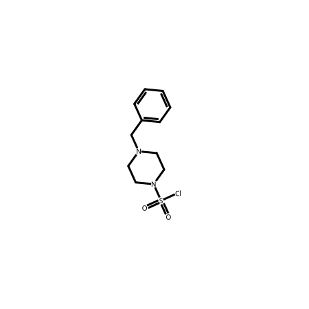 O=S(=O)(Cl)N1CCN(Cc2ccccc2)CC1